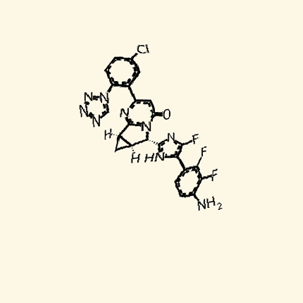 Nc1ccc(-c2[nH]c([C@@H]3[C@H]4C[C@H]4c4nc(-c5cc(Cl)ccc5-n5cnnn5)cc(=O)n43)nc2F)c(F)c1F